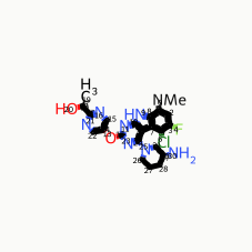 CNc1cc(F)c(Cl)c2c1[nH]c1nc(Oc3cnc([C@@H](C)O)nc3)nc(N3CCC[C@H](N)C3)c12